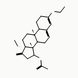 CCOC1=CC2=CC[C@@H]3[C@H](CC[C@]4(CC)C(=O)CC(OC(C)=O)[C@@H]34)[C@H]2CC1